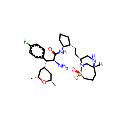 C[C@@H]1CC([C@H](c2ccc(F)cc2)[C@H](N)C(=O)N[C@H]2CCC[C@@H]2CC[C@H]2CN[C@@H]3CCCS(=O)(=O)N2C3)C[C@H](C)O1